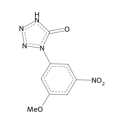 COc1cc(-n2nn[nH]c2=O)cc([N+](=O)[O-])c1